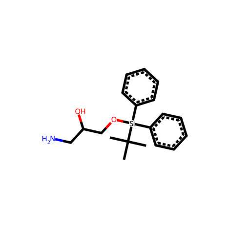 CC(C)(C)[Si](OCC(O)CN)(c1ccccc1)c1ccccc1